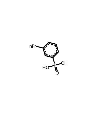 CCCc1cccc(P(=O)(O)O)c1